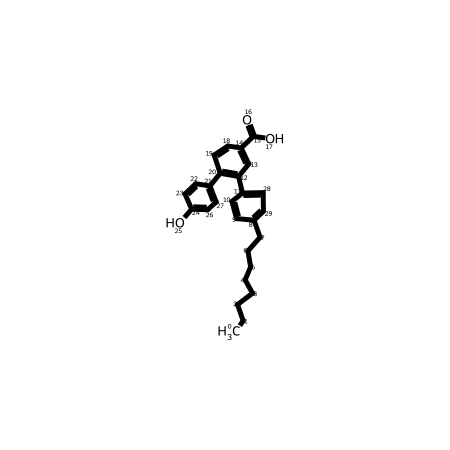 CCCCCCCCc1ccc(-c2cc(C(=O)O)ccc2-c2ccc(O)cc2)cc1